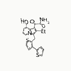 CCc1c(C(=O)C(N)=O)c2c(O)cccn2c1Cc1sccc1-c1cccs1